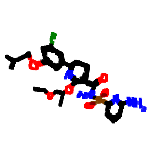 CCOCC(C)Oc1nc(-c2cc(F)cc(OCC(C)C)c2)ccc1C(=O)NS(=O)(=O)c1cccc(N)n1